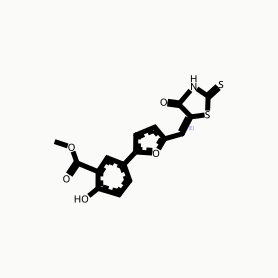 COC(=O)c1cc(-c2ccc(/C=C3/SC(=S)NC3=O)o2)ccc1O